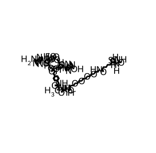 CC(C)[C@H](NC(=O)CCOCCOCCOCCOCCNC(=O)CCCCC1SC[C@H]2NC(=O)N[C@@H]12)C(=O)N[C@@H](C)C(=O)Nc1ccc(CSP2(=O)OC[C@H]3OC(n4cnc5c(N)ncnc54)[C@H](F)[C@@H]3OP(=O)(O)OC[C@H]3O[C@@H](n4cnc5c(O)ncnc54)C[C@@H]3O2)cc1